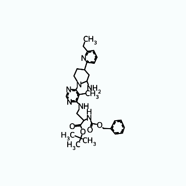 CCc1cccc(C2CCN(c3ncnc(NCC(NC(=O)OCc4ccccc4)C(=O)OC(C)(C)C)c3C)C(N)C2)n1